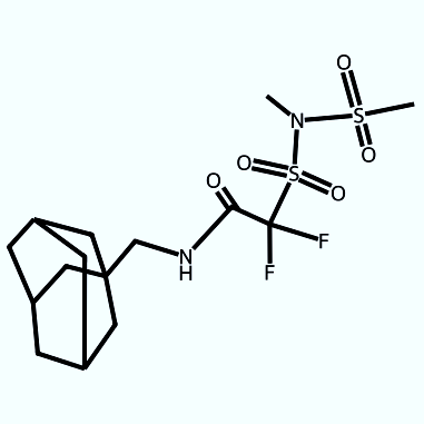 CN(S(C)(=O)=O)S(=O)(=O)C(F)(F)C(=O)NCC12CC3CC(CC(C3)C1)C2